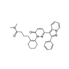 CN(C)C(=O)CCCC1=C(n2nc(-c3c(-c4ccccc4)nn4ccccc34)ccc2=O)CCCC1